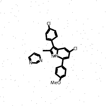 COc1ccc(-c2cc(Cl)cc3c(-c4ccc(Cl)cc4)c(C)nn23)cc1.c1cncnc1